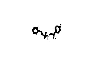 CC(C)(CCc1ccccc1)NCC(O)c1ccc(F)nc1